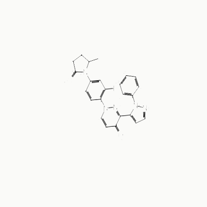 CC1CCC(=O)N1c1ccc(-n2ccc(=O)c(-c3ccnn3-c3ccccc3)n2)c(F)c1